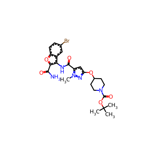 Cn1nc(OC2CCN(C(=O)OC(C)(C)C)CC2)cc1C(=O)Nc1c(C(N)=O)oc2ccc(Br)cc12